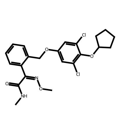 CNC(=O)C(=NOC)c1ccccc1COc1cc(Cl)c(OC2CCCC2)c(Cl)c1